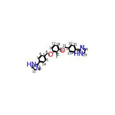 Fc1c(OCc2ccc(C3=NCCN3)cc2)cccc1OCc1ccc(C2=NCCN2)cc1